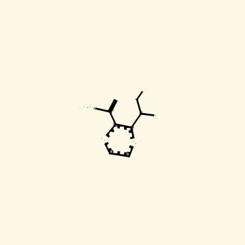 CCCC(CO)c1nccnc1C(=O)NC